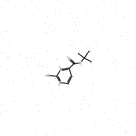 CC(C)(C)OC(=O)c1ccnc([O])n1